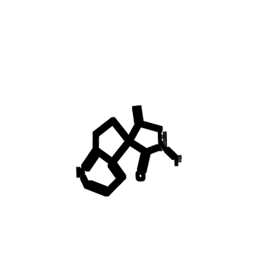 C=C(C)C1(C(=O)NF)CCc2ncccc21